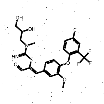 COc1cc(/C=C(/C=O)SC(=N)N(C)CC(O)CO)ccc1Oc1ccc(Cl)cc1C(F)(F)F